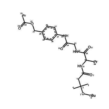 CCCCOC(C)(C)CC(=O)NC(C(=O)NCC(=O)Nc1ccc(COC(=O)C(C)C)cc1)C(C)C